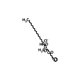 CCCCCCCCCCCCCCCCCCNC(=O)OC[C@H](COC(=O)CCC[n+]1ccccc1)OC.[Cl-]